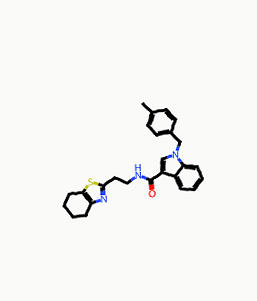 Cc1ccc(Cn2cc(C(=O)NCCc3nc4c(s3)CCCC4)c3ccccc32)cc1